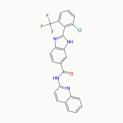 O=C(Nc1ccc2ccccc2n1)c1ccc2nc(-c3c(Cl)cccc3C(F)(F)F)[nH]c2c1